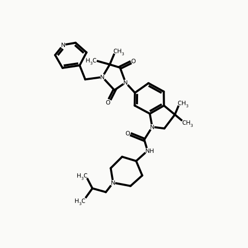 CC(C)CN1CCC(NC(=O)N2CC(C)(C)c3ccc(N4C(=O)N(Cc5ccncc5)C(C)(C)C4=O)cc32)CC1